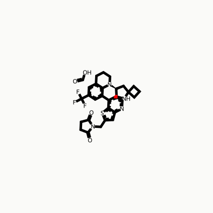 O=C1CCC(=O)N1Cc1cc2nccc(-c3cc(C(F)(F)F)cc4c3N([C@@H]3CNC5(CCC5)C3)CCC4)c2s1.O=CO